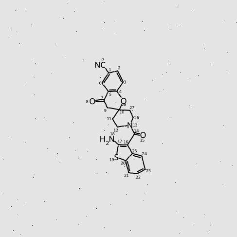 N#Cc1ccc2c(c1)C(=O)CC1(CCN(C(=O)c3c(N)sc4ccccc34)CC1)O2